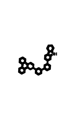 C1=CC(c2cccc(-c3cccc(-c4ccc5c(c4)[nH]c4ccccc45)c3)c2)Cc2c1c1ccccc1c1ccccc21